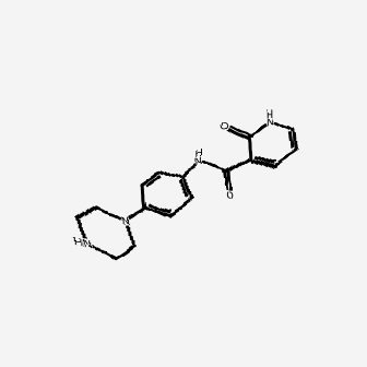 O=C(Nc1ccc(N2CCNCC2)cc1)c1ccc[nH]c1=O